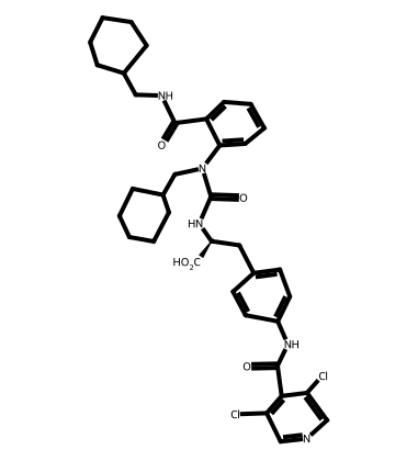 O=C(NCC1CCCCC1)c1ccccc1N(CC1CCCCC1)C(=O)N[C@@H](Cc1ccc(NC(=O)c2c(Cl)cncc2Cl)cc1)C(=O)O